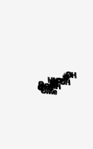 COc1cccc2occ(COc3cccc4[nH]c(OC(=O)NC5CCC(O)(CCN6CC[C@H](O)[C@@H](C)C6)CC5)cc34)c12